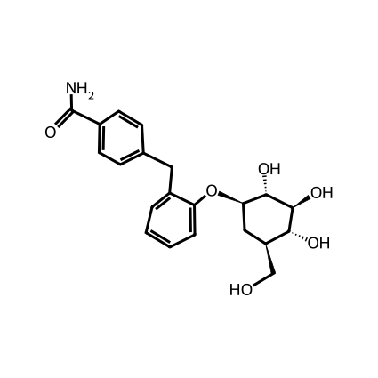 NC(=O)c1ccc(Cc2ccccc2O[C@@H]2C[C@H](CO)[C@@H](O)[C@H](O)[C@H]2O)cc1